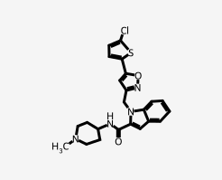 CN1CCC(NC(=O)c2cc3ccccc3n2Cc2cc(-c3ccc(Cl)s3)on2)CC1